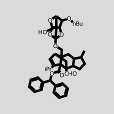 CCCCOC1C2OC3(OCC45CC6C(C)CCC6C6(C=O)CC4C=C(C(C)C)C65C(=O)OC(c4ccccc4)c4ccccc4)OC2OC1C3O